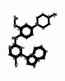 CC(=O)N1CCN(c2ccc(Nc3ncc(Cl)c(-c4cnc5ccccn45)n3)c(OC(C)C)c2)CC1